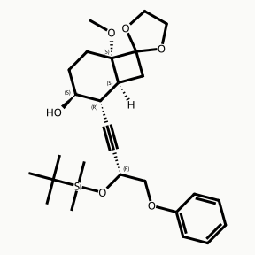 CO[C@@]12CC[C@H](O)[C@@H](C#C[C@H](COc3ccccc3)O[Si](C)(C)C(C)(C)C)[C@@H]1CC21OCCO1